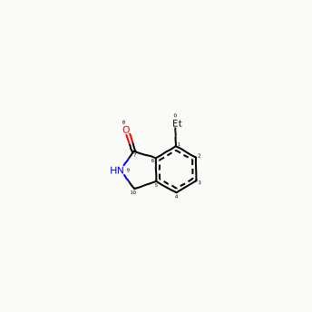 CCc1cccc2c1C(=O)NC2